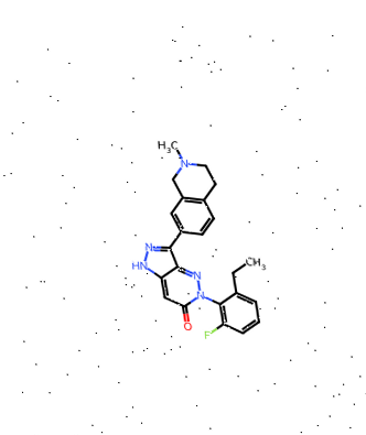 CCc1cccc(F)c1-n1nc2c(-c3ccc4c(c3)CN(C)CC4)n[nH]c2cc1=O